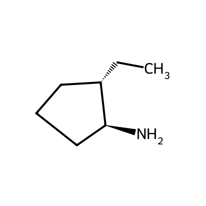 CC[C@H]1CCC[C@@H]1N